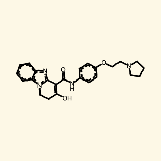 O=C(Nc1ccc(OCCN2CCCC2)cc1)C1=C(O)CCn2c1nc1ccccc12